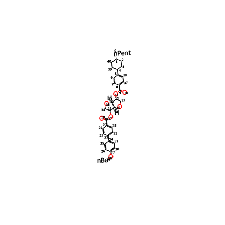 CCCCCC1CCC(c2ccc(C(=O)O[C@H]3CO[C@H]4C(OC(=O)c5ccc(-c6ccc(OCCCC)cc6)cc5)CO[C@@H]34)cc2)CC1